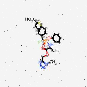 CC(NP(=O)(Oc1ccccc1)[C@@H](F)c1ccc2sc(C(=O)O)cc2c1)C(=O)OCc1nnnn1C